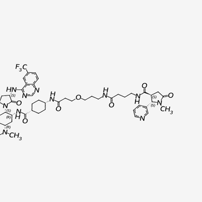 CC(C)N(C)[C@@H]1CC[C@H](N2CC[C@H](Nc3ncnc4ccc(C(F)(F)F)cc34)C2=O)[C@H](NC(=O)[C@H]2CC[C@@H](NC(=O)CCOCCCNC(=O)CCCNC(=O)[C@H]3CC(=O)N(C)[C@@H]3c3cccnc3)CC2)C1